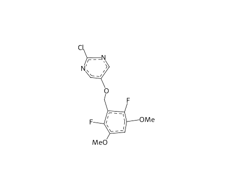 COc1cc(OC)c(F)c(COc2cnc(Cl)nc2)c1F